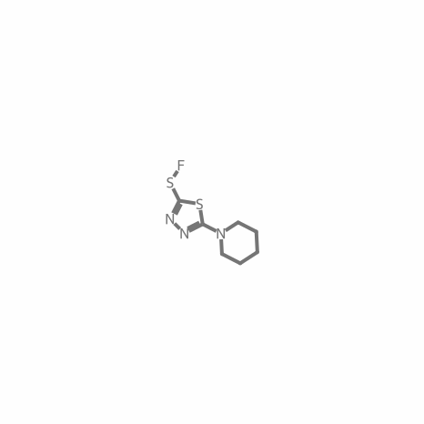 FSc1nnc(N2CCCCC2)s1